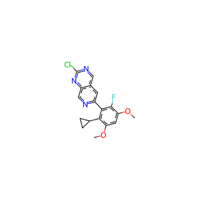 COc1cc(OC)c(C2CC2)c(-c2cc3cnc(Cl)nc3cn2)c1F